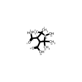 CC1(C)C(C(=O)O)C(C(=O)O)C(C)(C)N1O